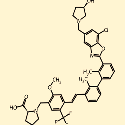 COc1cc(/C=C/c2cccc(-c3cccc(-c4nc5cc(CN6CC[C@@H](O)C6)cc(Cl)c5o4)c3C)c2C)c(C(F)(F)F)cc1CN1CCC[C@H]1C(=O)O